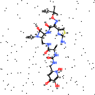 C[C@@H](NC(=O)NCc1cc(=O)c(O)cn1O)C(=O)NC[C@@H]1[C@H](NC(=O)/C(=N\OC(C)(C)C(=O)O)c2csc(N)n2)C(=O)N1S(=O)(=O)O